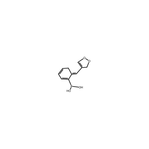 OB(O)C1=CC=CCC1=CC1=COOC1